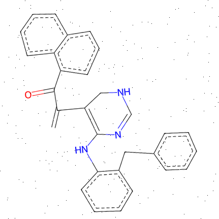 C=C(C(=O)c1cccc2ccccc12)C1=C(Nc2ccccc2Cc2ccccc2)N=CNC1